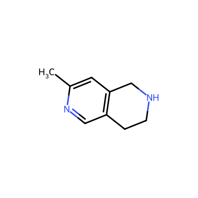 Cc1cc2c(cn1)CCNC2